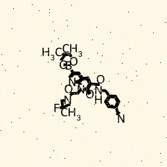 CC1(C)COB(c2cnc3c(c2)cc(C(=O)NCc2ccc(C#N)cc2)c(=O)n3CC(=O)N2CC(C)(F)C2)OC1